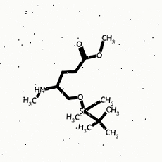 CNC(CCC(=O)OC)CO[Si](C)(C)C(C)(C)C